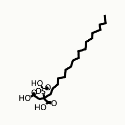 CCCCCCCCCCCCCCCCCCC(CC(=O)O)(C(=O)O)S(=O)(=O)O